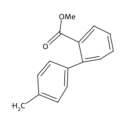 [CH2]c1ccc(-c2ccccc2C(=O)OC)cc1